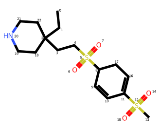 CCC1(CCS(=O)(=O)C2C=CC(S(C)(=O)=O)=CC2)CCNCC1